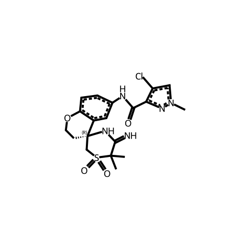 Cn1cc(Cl)c(C(=O)Nc2ccc3c(c2)[C@]2(CCO3)CS(=O)(=O)C(C)(C)C(=N)N2)n1